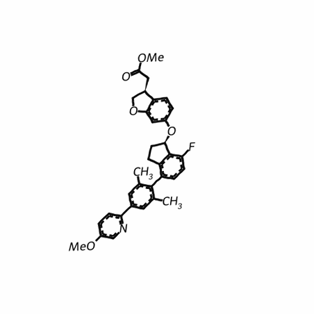 COC(=O)C[C@@H]1COc2cc(O[C@@H]3CCc4c(-c5c(C)cc(-c6ccc(OC)cn6)cc5C)ccc(F)c43)ccc21